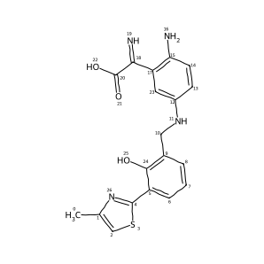 Cc1csc(-c2cccc(CNc3ccc(N)c(C(=N)C(=O)O)c3)c2O)n1